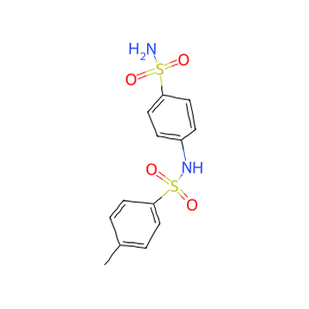 Cc1ccc(S(=O)(=O)Nc2ccc(S(N)(=O)=O)cc2)cc1